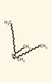 CCCCCCCCCCCCCCCCCC(CCCCCC)c1nccn1C(C)CCCCCCCCCCCCCC